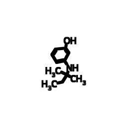 CCC(C)(C)Nc1cccc(O)c1